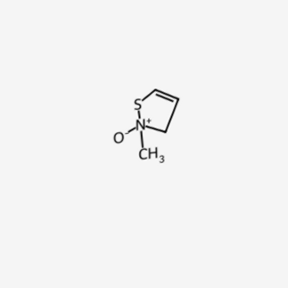 C[N+]1([O-])CC=CS1